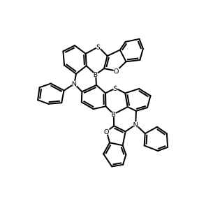 c1ccc(N2c3cccc4c3B(c3oc5ccccc5c3S4)c3c2ccc2c3Sc3cccc4c3B2c2oc3ccccc3c2N4c2ccccc2)cc1